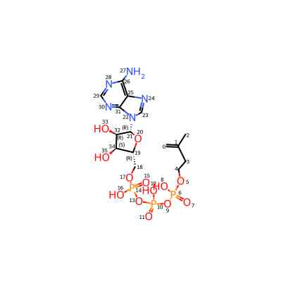 C=C(C)CCOP(=O)(O)OP(=O)(O)OP(=O)(O)OC[C@H]1O[C@@H](n2cnc3c(N)ncnc32)[C@H](O)[C@@H]1O